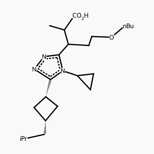 CCCCOCCC(c1nnc([C@H]2C[C@@H](CC(C)C)C2)n1C1CC1)C(C)C(=O)O